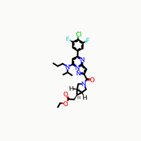 CCCN(c1cc(-c2cc(F)c(Cl)c(F)c2)nc2cc(C(=O)N3C[C@@H]4[C@@H](CC(=O)OCC)[C@@H]4C3)nn12)C(C)C